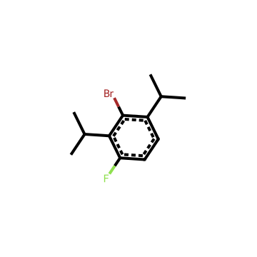 CC(C)c1ccc(F)c(C(C)C)c1Br